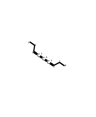 CCC=C=C=C=CCC